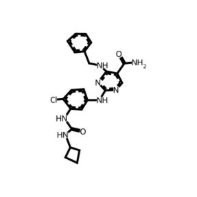 NC(=O)c1cnc(Nc2ccc(Cl)c(NC(=O)NC3CCC3)c2)nc1NCc1ccccc1